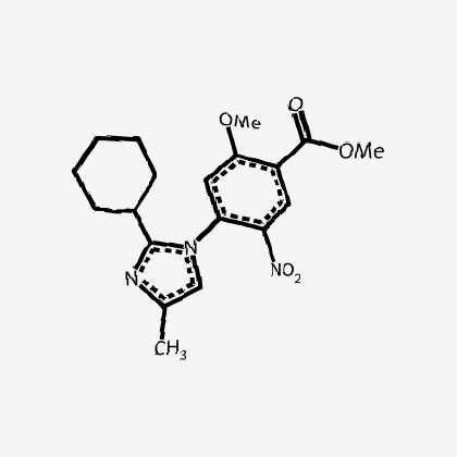 COC(=O)c1cc([N+](=O)[O-])c(-n2cc(C)nc2C2CCCCC2)cc1OC